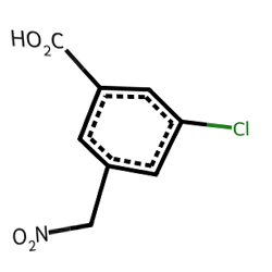 O=C(O)c1cc(Cl)cc(C[N+](=O)[O-])c1